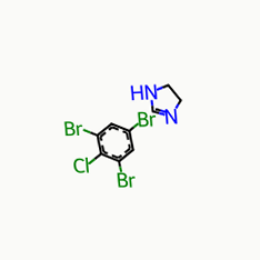 C1=NCCN1.Clc1c(Br)cc(Br)cc1Br